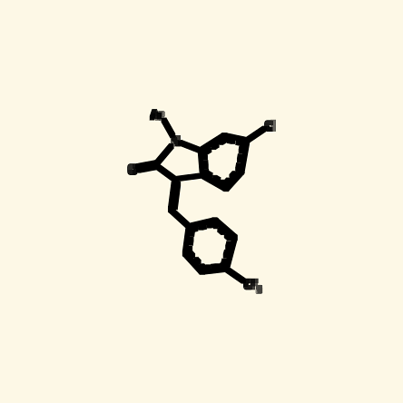 CC(=O)N1C(=O)/C(=C/c2ccc(C(F)(F)F)cc2)c2ccc(Cl)cc21